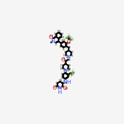 Cn1cc(-c2ccc(CC3CCN(CC(=O)C4CCN(c5ccc(NC6CCC(=O)NC6=O)cc5C(F)(F)F)CC4)CC3)c(OC(F)(F)F)c2)c2ccccc2c1=O